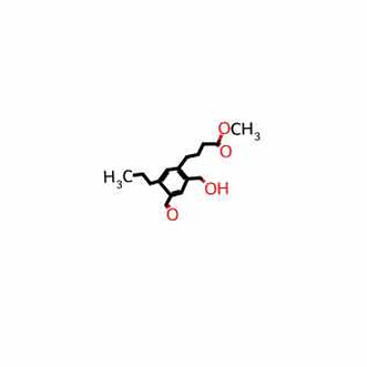 CCCc1cc(CCCC(=O)OC)c(CO)cc1C=O